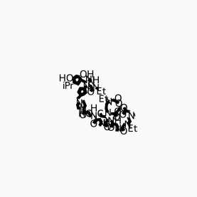 CCNC(=O)c1nnc(-c2cc(C(C)C)c(O)cc2O)n1-c1ccc(CN2CCN(C(=O)CCNC(=O)CN(C)C(=O)[C@@H](CCC(=O)O)NC(=O)CN(C)C(=O)CN(CC)CCN(C)CC(=O)OC3OC(=O)CN(C)CCN(CC)CC(=O)O3)CC2)cc1